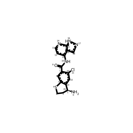 N[C@H]1CCSc2cc(C(=O)Nc3ccnc4[nH]ncc34)c(Cl)cc21